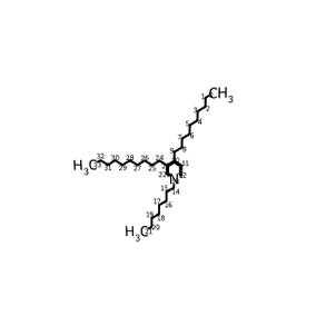 CCCCCCCCCCc1cc[n+](CCCCCCCC)cc1CCCCCCCCCC